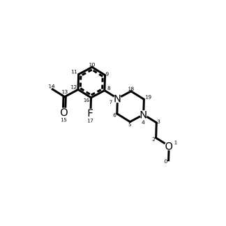 COCCN1CCN(c2cccc(C(C)=O)c2F)CC1